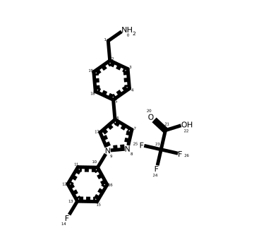 NCc1ccc(-c2cnn(-c3ccc(F)cc3)c2)cc1.O=C(O)C(F)(F)F